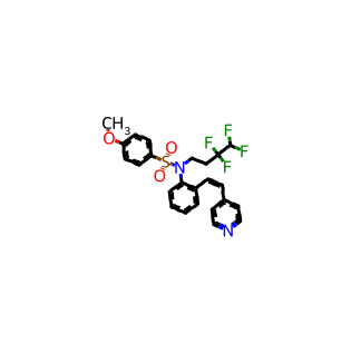 COc1ccc(S(=O)(=O)N(CCC(F)(F)C(F)F)c2ccccc2C=Cc2ccncc2)cc1